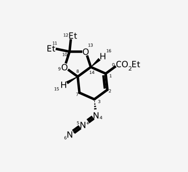 CCOC(=O)C1=C[C@H](N=[N+]=[N-])C[C@@H]2OC(CC)(CC)O[C@H]12